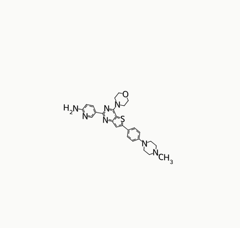 CN1CCN(c2ccc(-c3cc4nc(-c5ccc(N)nc5)nc(N5CCOCC5)c4s3)cc2)CC1